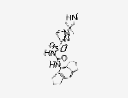 CNCC(C)(C)n1ccc(S(=O)(=O)NC(=O)Nc2c3c(cc4c2CCC4)CCC3)n1